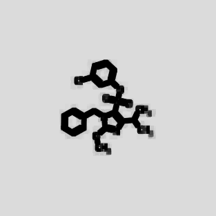 COc1nc(C(C)C)c(S(=O)(=O)Oc2cccc(Cl)c2)n1Cc1ccccc1